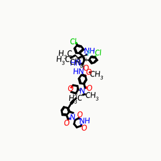 COc1cc(C(=O)N(C(C)C)[C@@H]2CCOC[C@H]2CC#Cc2cccc3c2CN(C2CCC(=O)NC2=O)C3=O)ccc1NC(=O)[C@@H]1N[C@@H](CC(C)(C)C)[C@@]2(CNc3cc(Cl)ccc32)[C@H]1c1cccc(Cl)c1F